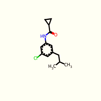 CC(C)Cc1cc(Cl)cc(NC(=O)C2CC2)c1